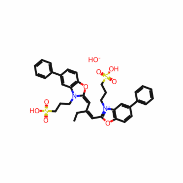 CCC(=Cc1oc2ccc(-c3ccccc3)cc2[n+]1CCCS(=O)(=O)O)C=C1Oc2ccc(-c3ccccc3)cc2N1CCCS(=O)(=O)O.[OH-]